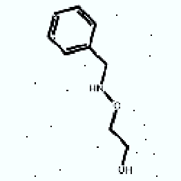 OCCONCc1ccccc1